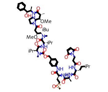 CC[C@H](C)[C@@H]([C@@H](CC(=O)N1CCC[C@H]1[C@H](OC)[C@@H](C)C(=O)N[C@H](C)[C@@H](O)c1ccccc1)OC)N(C)C(=O)[C@@H](NC(=O)[C@H](C(C)C)N(C)C(=O)OCc1ccc(NC(=O)[C@H](CC[S+](C)[O-])NC(=O)[C@H](C)NC(=O)[C@@H](CCC(C)C)NC(=O)CCN2C(=O)C=CC2=O)cc1)C(C)C